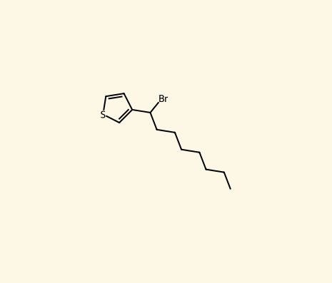 CCCCCCCC(Br)c1ccsc1